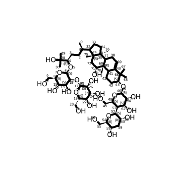 C[C@H](CC[C@@H](O[C@@H]1O[C@H](CO)[C@@H](O)[C@H](O)[C@H]1O[C@H]1O[C@@H](CO)[C@H](O)[C@@H](O)[C@@H]1O)C(C)(C)O)C1CC[C@@]2(C)C3CC=C4C(CC[C@H](O[C@@H]5O[C@H](CO)C([C@@H]6O[C@H](CO)[C@@H](O)C[C@H]6O)[C@H](O)[C@H]5O)C4(C)C)[C@]3(C)[C@H](O)C[C@]12C